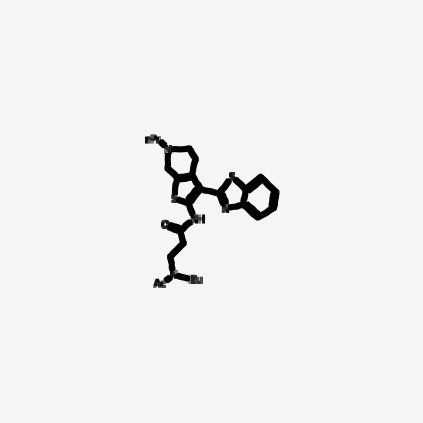 CCCN1CCc2c(sc(NC(=O)CCN(C(C)=O)C(C)CC)c2-c2nc3ccccc3s2)C1